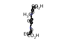 CCOC(Cc1ccc(OC/C=C/C#Cc2ccc3c(c2)C(=O)c2cc(C#C/C(C)=C/COc4ccc(CC(OCC)C(=O)O)cc4)ccc2-3)cc1)C(=O)O